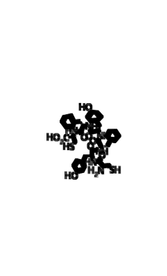 N[C@@H](CS)C(=O)N[C@@H](Cc1ccc(O)cc1)C(=O)N[C@@H](Cc1ccccc1)C(=O)N[C@@H](Cc1ccc(O)cc1)C(=O)N[C@@H](Cc1ccccc1)C(=O)N[C@@H](CS)C(=O)O